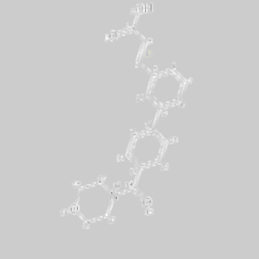 O=C(O)/C=C/c1cccc(-c2ccc(C(=O)N3CCOCC3)cc2)c1